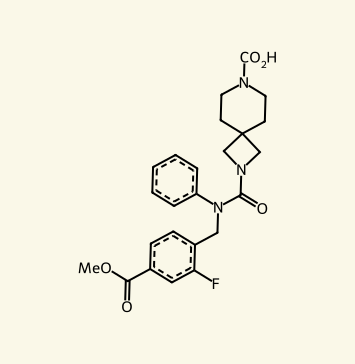 COC(=O)c1ccc(CN(C(=O)N2CC3(CCN(C(=O)O)CC3)C2)c2ccccc2)c(F)c1